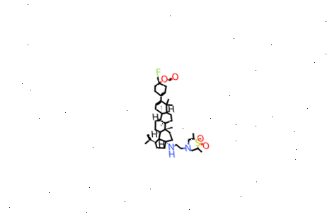 C=C(C)[C@@H]1CC[C@]2(NCCN3CC(C)S(=O)(=O)C(C)C3)CC[C@]3(C)[C@H](CC[C@@H]4[C@@]5(C)CC=C(C6=CCC(CF)(OC=O)CC6)C(C)(C)[C@@H]5CC[C@]43C)[C@@H]12